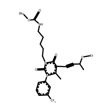 CCOC(C)C#Cc1c(C)n(-c2cccc(C(F)(F)F)c2)c(=O)n(CCCCCNC(=O)OC(C)(C)C)c1=O